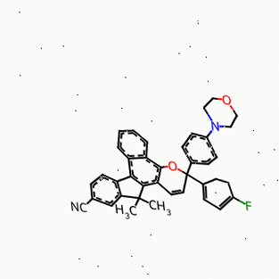 CC1(C)c2cc(C#N)ccc2-c2c1c1c(c3ccccc23)OC(C2=CC=C(F)CC2)(c2ccc(N3CCOCC3)cc2)C=C1